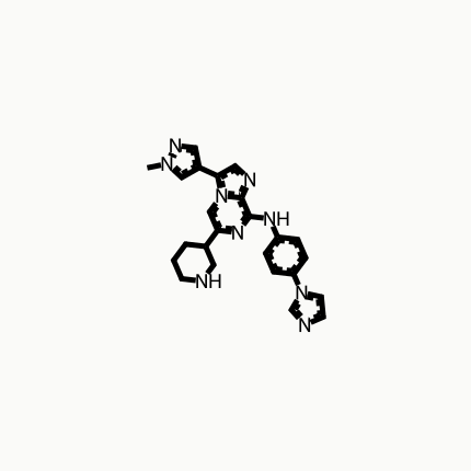 Cn1cc(-c2cnc3c(Nc4ccc(-n5ccnc5)cc4)nc(C4CCCNC4)cn23)cn1